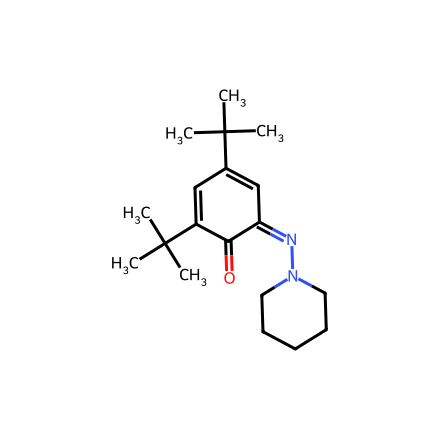 CC(C)(C)C1=CC(=NN2CCCCC2)C(=O)C(C(C)(C)C)=C1